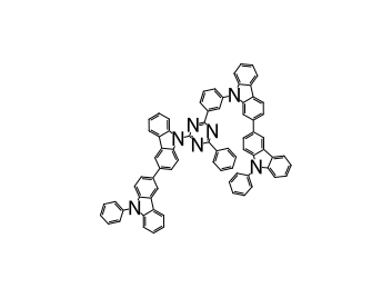 c1ccc(-c2nc(-c3cccc(-n4c5ccccc5c5ccc(-c6ccc7c(c6)c6ccccc6n7-c6ccccc6)cc54)c3)nc(-n3c4ccccc4c4cc(-c5ccc6c(c5)c5ccccc5n6-c5ccccc5)ccc43)n2)cc1